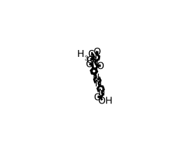 CN1C(=O)CCC(N2C(=O)c3ccc(N4CCN(C5CCN(CC(=O)O)CC5)CC4)cc3C2=O)C1=O